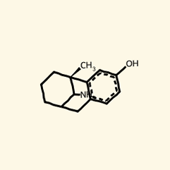 C[C@@]12CCCC(Cc3ccc(O)cc31)C2N